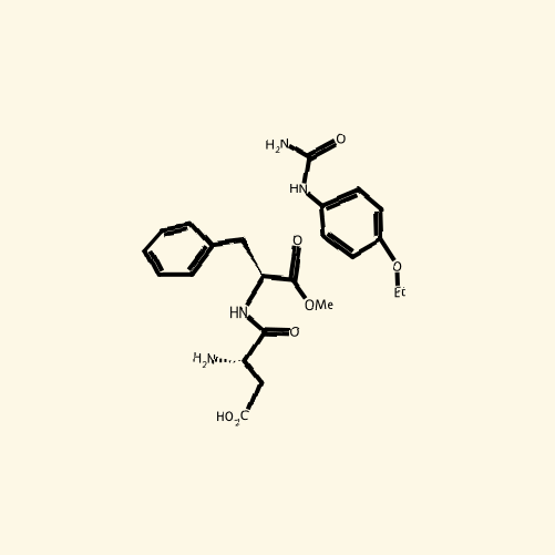 CCOc1ccc(NC(N)=O)cc1.COC(=O)[C@H](Cc1ccccc1)NC(=O)[C@@H](N)CC(=O)O